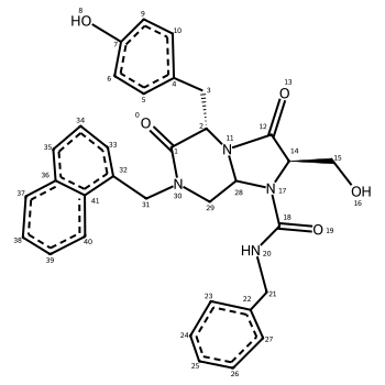 O=C1[C@H](Cc2ccc(O)cc2)N2C(=O)[C@@H](CO)N(C(=O)NCc3ccccc3)C2CN1Cc1cccc2ccccc12